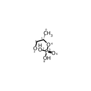 C[C@@H](C[O])OP(=O)(O)O